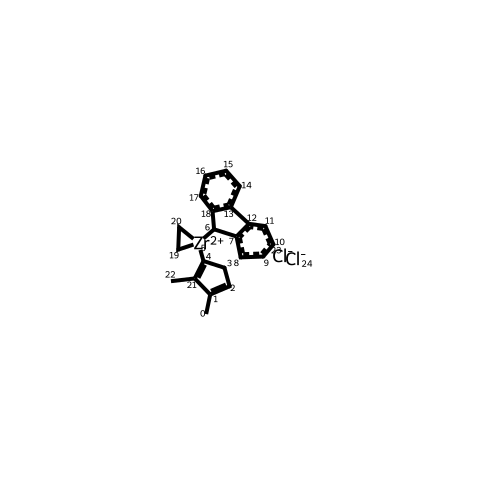 CC1=CC[C]([Zr+2]2([CH]3c4ccccc4-c4ccccc43)[CH2][CH2]2)=C1C.[Cl-].[Cl-]